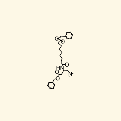 CN(C)CC(CC(=O)OCc1ccccc1)NC(=O)CCCCCCCS(=O)(=O)Cc1ccccc1